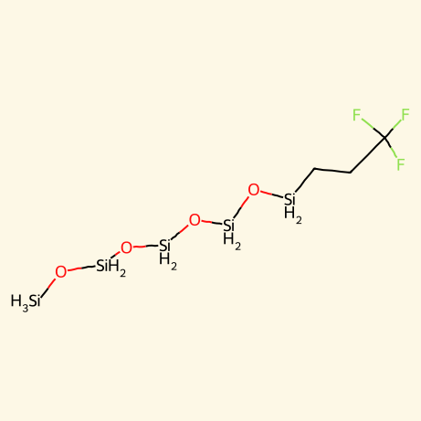 FC(F)(F)CC[SiH2]O[SiH2]O[SiH2]O[SiH2]O[SiH3]